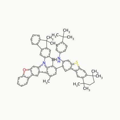 Cc1cc(-c2cc3c(cc2Nc2ccc(C(C)(C)C)cc2)sc2cc4c(cc23)C(C)(C)CCC4(C)C)c2c3c1c1cc4c(cc1n3-c1cc3c(cc1B2)C(C)(C)c1ccccc1-3)oc1ccccc14